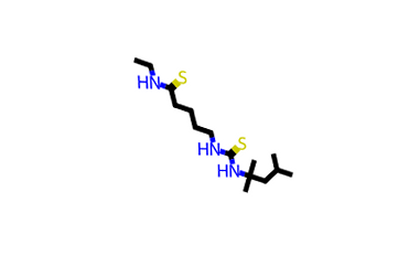 CCNC(=S)CCCCNC(=S)NC(C)(C)CC(C)C